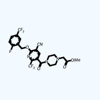 COC(=O)CN1CCN(C(=O)c2cc(C#N)c(OCc3cc(C(F)(F)F)ccc3F)nc2C(F)(F)F)CC1